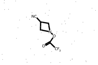 N#CC1CN(OC(=O)C(F)(F)F)C1